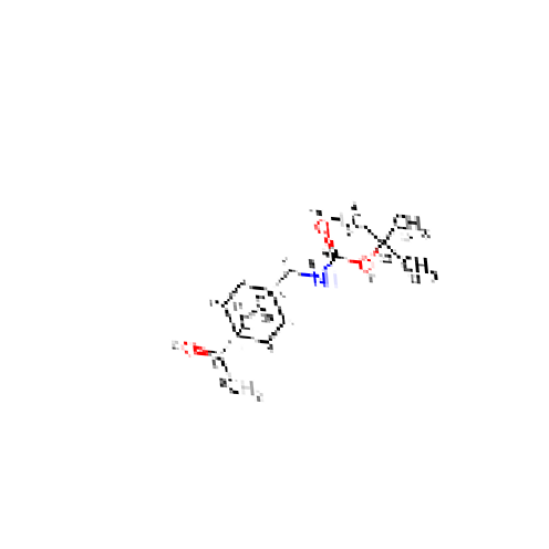 CC(=O)[C@]12CC[C@](CNC(=O)OC(C)(C)C)(CC1)CC2